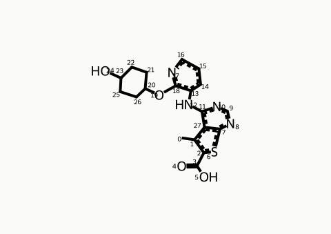 Cc1c(C(=O)O)sc2ncnc(Nc3cccnc3OC3CCC(O)CC3)c12